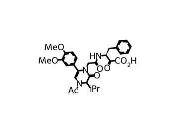 COc1ccc(C2=CN(C(C)=O)C(C(C)C)C(=O)N2CC(=O)N[C@@H](Cc2ccccc2)C(=O)C(=O)O)cc1OC